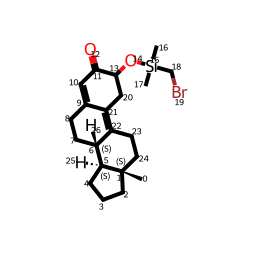 C[C@@]12CCC[C@H]1[C@@H]1CCC3=CC(=O)C(O[Si](C)(C)CBr)CC3=C1CC2